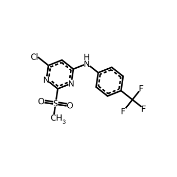 CS(=O)(=O)c1nc(Cl)cc(Nc2ccc(C(F)(F)F)cc2)n1